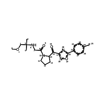 COCC(C)(C)NCC(=O)N1CCCC1C(=O)c1noc(-c2ccc(F)cc2)n1